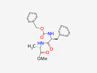 COC(=O)[C@H](C)NC(=O)[C@H](Cc1ccccc1)NC(=O)OCc1ccccc1